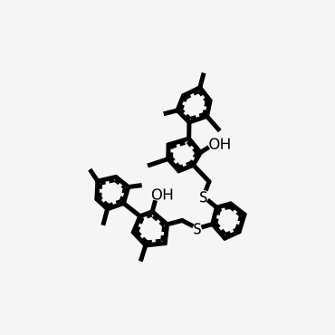 Cc1cc(C)c(-c2cc(C)cc(CSc3ccccc3SCc3cc(C)cc(-c4c(C)cc(C)cc4C)c3O)c2O)c(C)c1